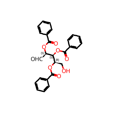 O=C[C@@H](OC(=O)c1ccccc1)[C@@H](OC(=O)c1ccccc1)[C@@H](CO)OC(=O)c1ccccc1